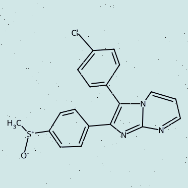 C[S+]([O-])c1ccc(-c2nc3ncccn3c2-c2ccc(Cl)cc2)cc1